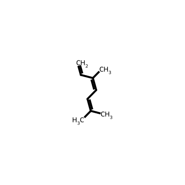 C=C/C(C)=C\C=C(C)C